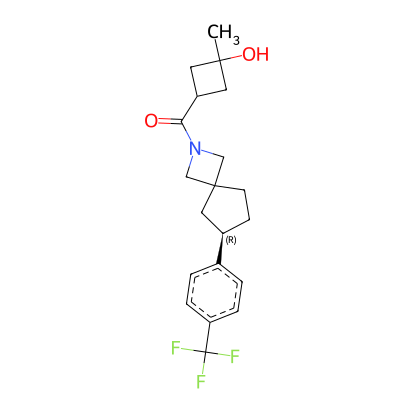 CC1(O)CC(C(=O)N2CC3(CC[C@@H](c4ccc(C(F)(F)F)cc4)C3)C2)C1